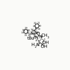 CN(CCO)C(=O)N(CC[C@H](N)CO)[C@@H](c1nc(-c2ccccc2)cn1Cc1ccccc1)C(C)(C)C